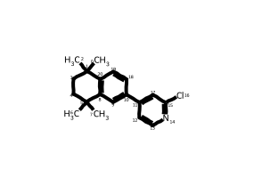 CC1(C)CCC(C)(C)c2cc(-c3ccnc(Cl)c3)ccc21